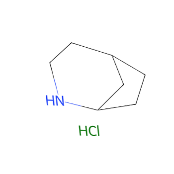 C1CC2CCC(C2)N1.Cl